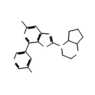 Clc1cncc(-c2nc(Cl)cc3nc(N4CCOC5CCCC54)[nH]c23)c1